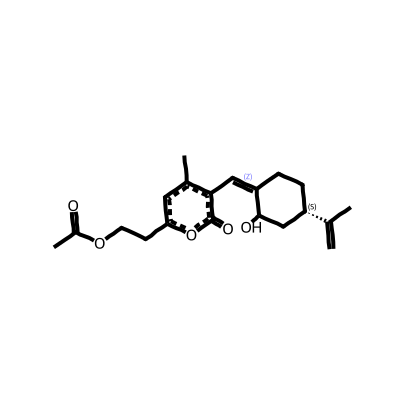 C=C(C)[C@H]1CC/C(=C/c2c(C)cc(CCOC(C)=O)oc2=O)C(O)C1